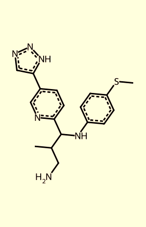 CSc1ccc(NC(c2ccc(-c3cnn[nH]3)cn2)C(C)CN)cc1